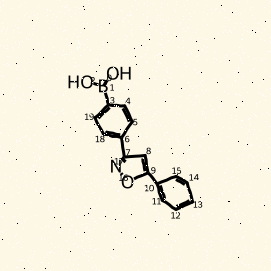 OB(O)c1ccc(-c2cc(-c3ccccc3)on2)cc1